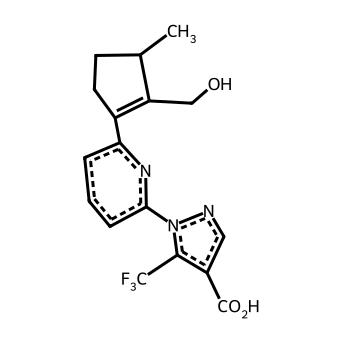 CC1CCC(c2cccc(-n3ncc(C(=O)O)c3C(F)(F)F)n2)=C1CO